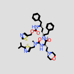 CC(C)c1ncc(CN(C)C(=O)N[C@@H](CCN2CCOCC2)C(=O)N[C@H](CC[C@H](Cc2ccccc2)NC(=O)OCc2cncs2)Cc2ccccc2)s1